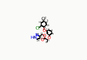 CC(Oc1cccc(Oc2ccc(C(F)(F)F)cc2Cl)c1)C(=O)OCc1cc[nH]n1